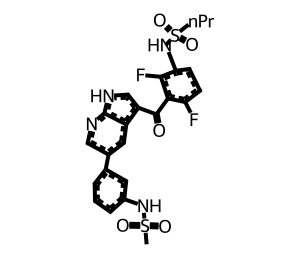 CCCS(=O)(=O)Nc1ccc(F)c(C(=O)c2c[nH]c3ncc(-c4cccc(NS(C)(=O)=O)c4)cc23)c1F